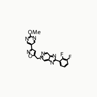 COc1ncc(-c2cc(Cn3cc4nc(-c5cccc(F)c5F)nc-4cn3)on2)cn1